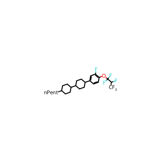 CCCCCC1CCC(C2CCC(c3ccc(OC(F)(F)C(F)C(F)(F)F)c(F)c3)CC2)CC1